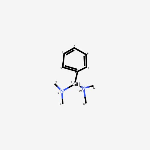 CN(C)[SiH](c1ccccc1)N(C)C